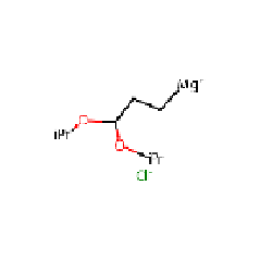 CC(C)OC(C[CH2][Mg+])OC(C)C.[Cl-]